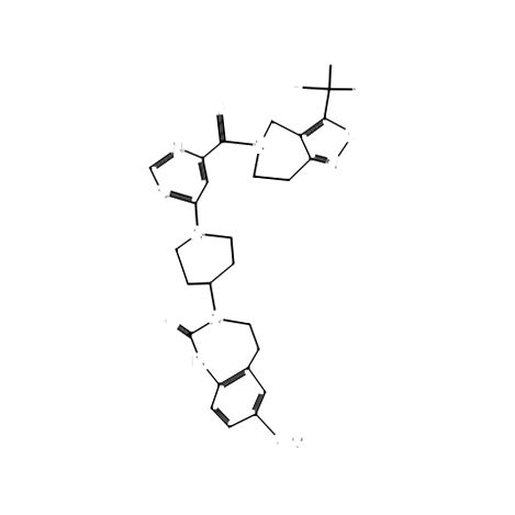 COc1ccc2c(c1)CCN(C1CCN(c3cc(C(=O)N4CCc5noc(C(C)(F)F)c5C4)ncn3)CC1)C(=O)N2